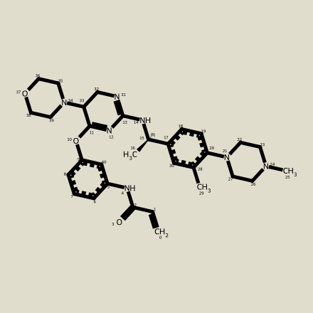 C=CC(=O)Nc1cccc(OC2=NC(N[C@H](C)c3ccc(N4CCN(C)CC4)c(C)c3)=NCC2N2CCOCC2)c1